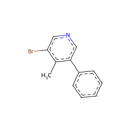 Cc1c(Br)cncc1-c1cc[c]cc1